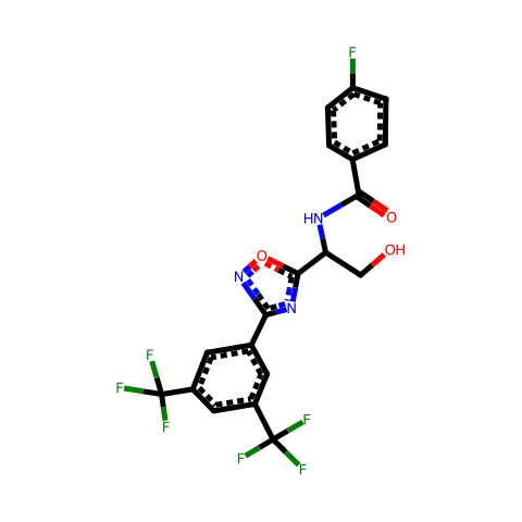 O=C(NC(CO)c1nc(-c2cc(C(F)(F)F)cc(C(F)(F)F)c2)no1)c1ccc(F)cc1